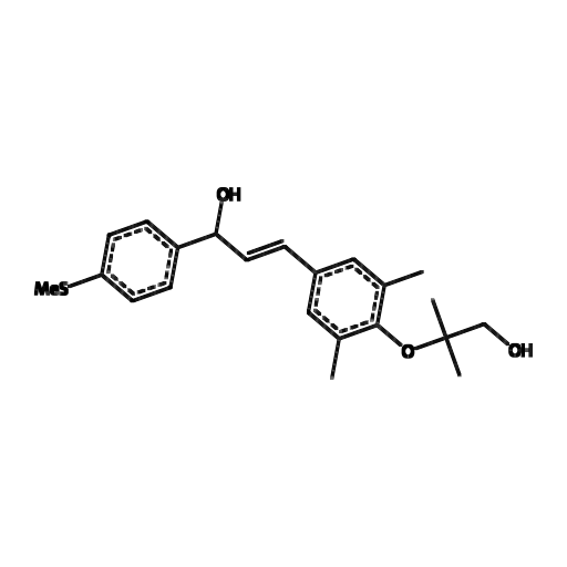 CSc1ccc(C(O)/C=C/c2cc(C)c(OC(C)(C)CO)c(C)c2)cc1